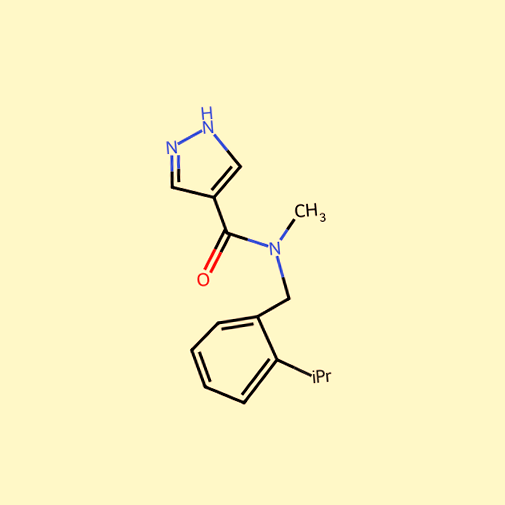 CC(C)c1ccccc1CN(C)C(=O)c1cn[nH]c1